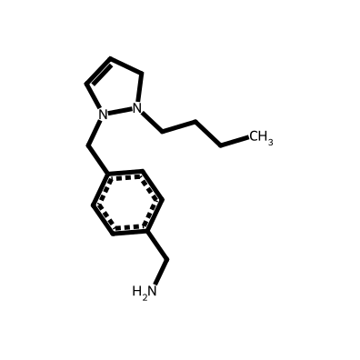 CCCCN1CC=CN1Cc1ccc(CN)cc1